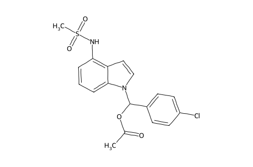 CC(=O)OC(c1ccc(Cl)cc1)n1ccc2c(NS(C)(=O)=O)cccc21